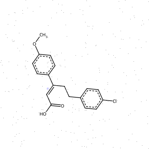 COc1ccc(/C(=C/C(=O)O)CCc2ccc(Cl)cc2)cc1